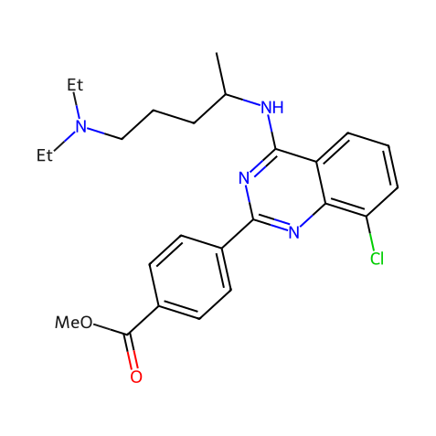 CCN(CC)CCCC(C)Nc1nc(-c2ccc(C(=O)OC)cc2)nc2c(Cl)cccc12